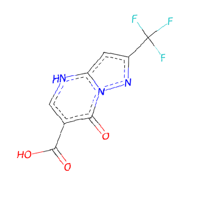 O=C(O)c1c[nH]c2cc(C(F)(F)F)nn2c1=O